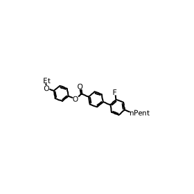 CCCCCc1ccc(-c2ccc(C(=O)Oc3ccc(OCC)cc3)cc2)c(F)c1